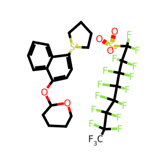 O=S(=O)([O-])C(F)(F)C(F)(F)C(F)(F)C(F)(F)C(F)(F)C(F)(F)C(F)(F)C(F)(F)F.c1ccc2c([S+]3CCCC3)ccc(OC3CCCCO3)c2c1